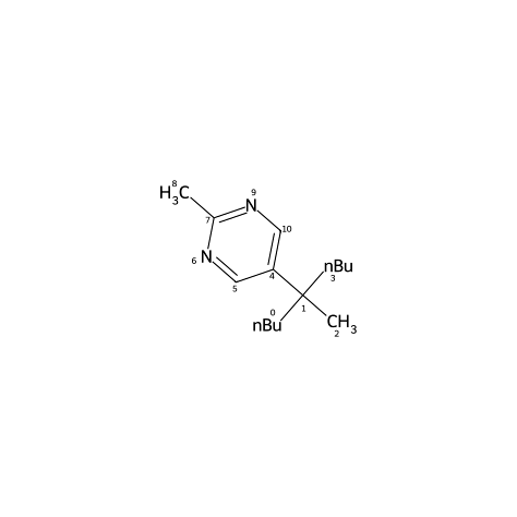 CCCCC(C)(CCCC)c1cnc(C)nc1